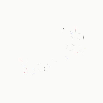 Cn1cc(-c2ccc(CN3CCC(C4CCN(c5ccc(NC6CCC(=O)NC6=O)cc5Cl)CC4)CC3)c(OC(F)(F)F)c2)c2ccccc2c1=O